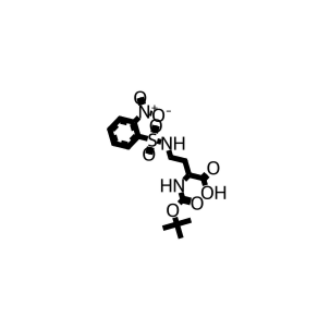 CC(C)(C)OC(=O)NC(CCNS(=O)(=O)c1ccccc1[N+](=O)[O-])C(=O)O